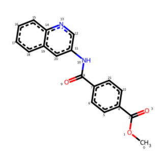 COC(=O)c1ccc(C(=O)Nc2cnc3ccccc3c2)cc1